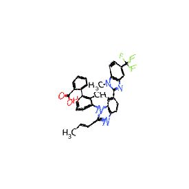 CCCc1nc2ccc(-c3nc4cc(C(F)(F)F)ccc4n3C)cc2n1-c1cccc(-c2ccccc2C(=O)O)c1C